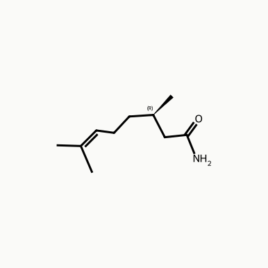 CC(C)=CCC[C@@H](C)CC(N)=O